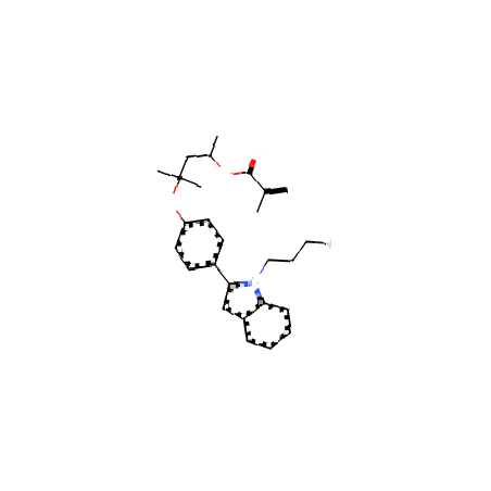 C=C(C)C(=O)OC(C)CC(C)(C)Oc1ccc(-c2cc3ccccc3n2CCCC(C)C)cc1